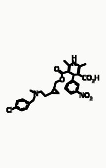 CC1=C(C(=O)O)C(c2cccc([N+](=O)[O-])c2)C(C(=O)OCC2CC2CCN(C)Cc2ccc(Cl)cc2)=C(C)N1